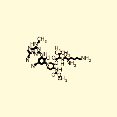 CCNc1nc(Nc2cc(C#N)cc(N3CCC(NC(=O)OC)C(OC(=O)C(NC(=O)C(N)CCCCN)C(C)C)C3)c2Cl)nn2c(C#N)cnc12